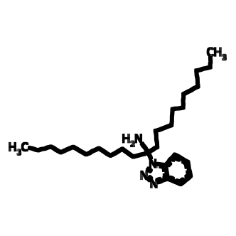 CCCCCCCCCCC(N)(CCCCCCCCCC)n1nnc2ccccc21